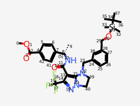 COC(=O)c1ccc([C@H](C)NC(=O)c2c(C(F)(F)F)nn3c2N(Cc2cccc(CO[Si](C)(C)C(C)(C)C)c2)CC3)cc1